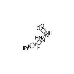 CC(C)N1CCN(c2cc3[nH]c(-c4n[nH]c5cc6c(cc45)OCO6)nc3cc2F)CC1